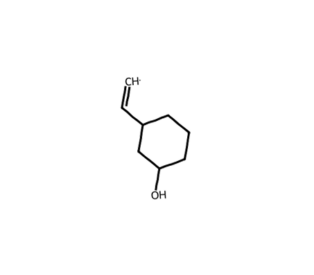 [CH]=CC1CCCC(O)C1